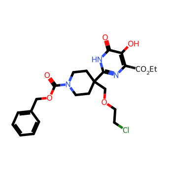 CCOC(=O)c1nc(C2(COCCCl)CCN(C(=O)OCc3ccccc3)CC2)[nH]c(=O)c1O